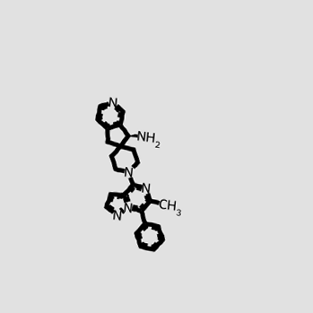 Cc1nc(N2CCC3(CC2)Cc2ccncc2[C@H]3N)c2ccnn2c1-c1ccccc1